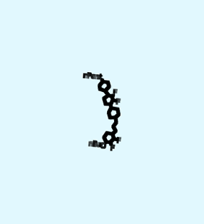 CCCCCC1CCC(C2CCC(C3CCC(CCCC4CCC(OCCCC)C(F)C4F)CC3)C(F)C2F)CC1